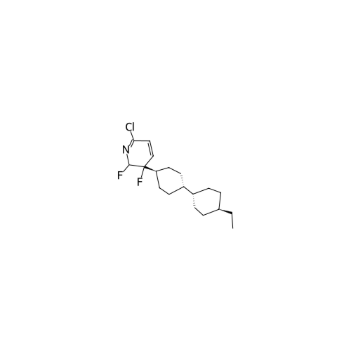 CC[C@H]1CC[C@H]([C@H]2CC[C@H](C3(F)C=CC(Cl)=NC3F)CC2)CC1